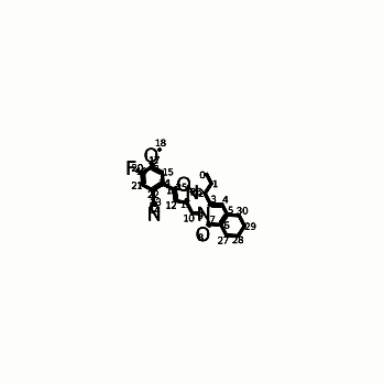 CCCc1cc2c(c(=O)n1Cc1cc(-c3cc(OC)c(F)cc3C#N)on1)CCCC2